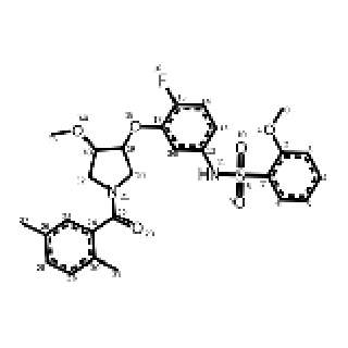 COc1ccccc1S(=O)(=O)Nc1ccc(F)c(OC2CN(C(=O)c3cc(C)ccc3C)CC2OC)c1